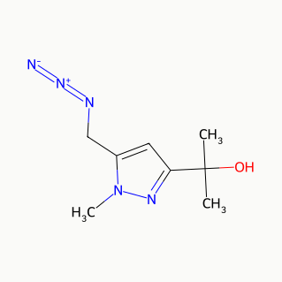 Cn1nc(C(C)(C)O)cc1CN=[N+]=[N-]